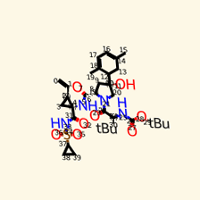 C=C[C@@H]1C[C@]1(NC(=O)[C@@H]1C[C@@](O)(C2CC(C)=CC=C2C)CN1C(=O)[C@@H](NC(=O)OC(C)(C)C)C(C)(C)C)C(=O)NS(=O)(=O)C1CC1